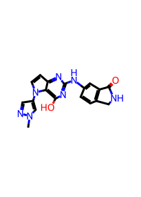 Cn1cc(-n2ccc3nc(Nc4ccc5c(c4)C(=O)NC5)nc(O)c32)cn1